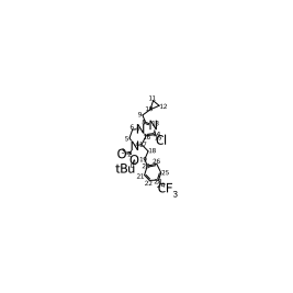 CC(C)(C)OC(=O)N1CCn2c(CC3CC3)nc(Cl)c2C1CCc1ccc(C(F)(F)F)cc1